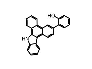 Oc1ccccc1-c1ccc2c(c1)c1ccccc1c1[nH]c3ccccc3c21